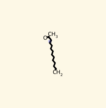 C=CCCCCCCCC/C=C/C(C)=O